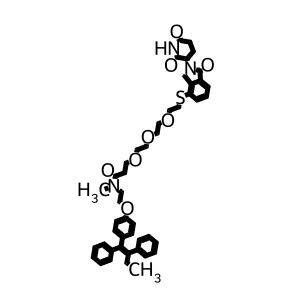 CCC(=C(c1ccccc1)c1ccc(OCCN(C)C(=O)CCOCCOCCOCCSc2cccc3c2CN(C2CCC(=O)NC2=O)C3=O)cc1)c1ccccc1